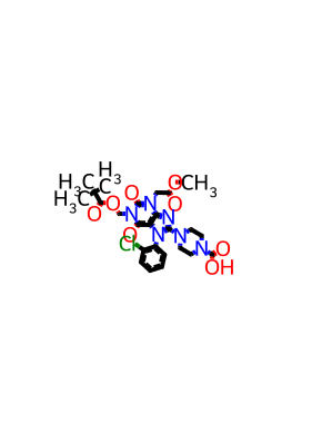 COC(=O)Cn1c(=O)n(COC(=O)C(C)(C)C)c(=O)c2c1nc(N1CCN(C(=O)O)CC1)n2-c1ccccc1Cl